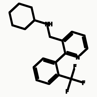 FC(F)(F)c1ccccc1-c1ncccc1CNC1CCCCC1